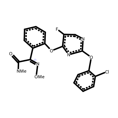 CNC(=O)/C(=N\OC)c1ccccc1Oc1nc(Oc2ccccc2Cl)ncc1F